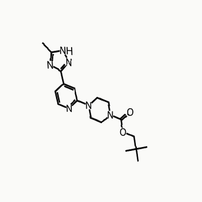 Cc1nc(-c2ccnc(N3CCN(C(=O)OCC(C)(C)C)CC3)c2)n[nH]1